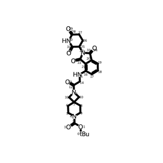 CC(C)(C)OC(=O)N1CCC2(CC1)CN(C(=O)CNc1cccc3c1C(=O)N(C1CCC(=O)NC1=O)C3=O)C2